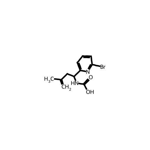 C=C(C)CC(NC(=O)O)c1cccc(Br)n1